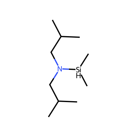 CC(C)CN(CC(C)C)[SiH](C)C